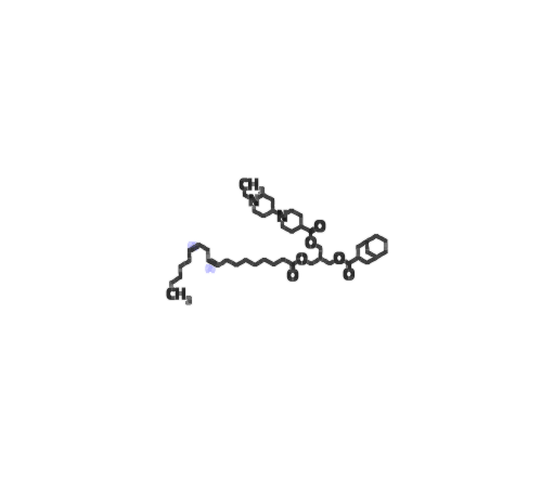 CCCCC/C=C\C/C=C\CCCCCCCC(=O)OCC(COC(=O)C1CCN(C2CCN(CC)CC2)CC1)COC(=O)C1CC2CCCC(C2)C1